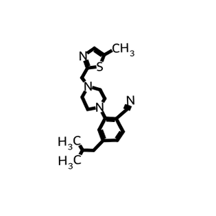 Cc1cnc(CN2CCN(c3cc(CC(C)C)ccc3C#N)CC2)s1